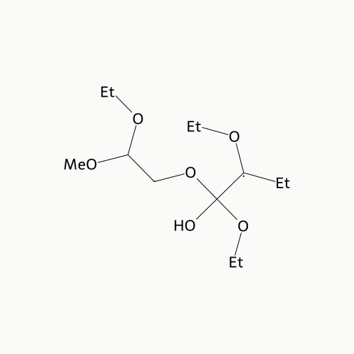 CCO[C](CC)C(O)(OCC)OCC(OC)OCC